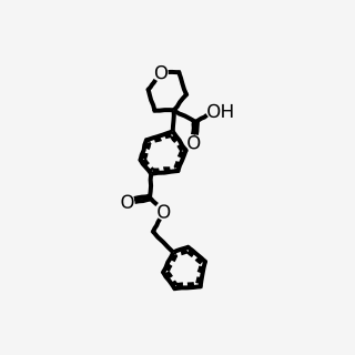 O=C(OCc1ccccc1)c1ccc(C2(C(=O)O)CCOCC2)cc1